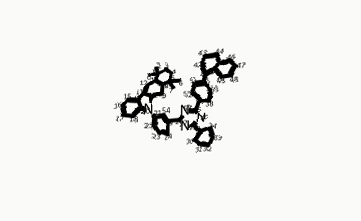 CC1(C)CCC(C)(C)c2cc3c(cc21)c1ccccc1n3-c1cccc(-c2nc(-c3ccccc3)nc(-c3ccc(-c4cccc5ccccc45)cc3)n2)c1